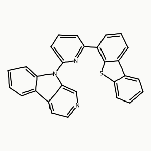 c1cc(-c2cccc3c2sc2ccccc23)nc(-n2c3ccccc3c3ccncc32)c1